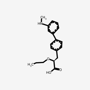 CCCO[C@@H](Cc1ccc(-c2cccc(NC)c2)cc1)C(=O)O